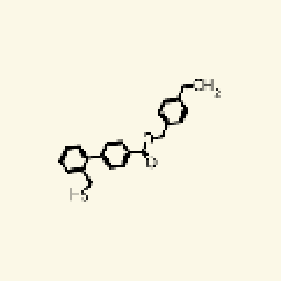 C=Cc1ccc(COC(=O)c2ccc(-c3ccccc3CS)cc2)cc1